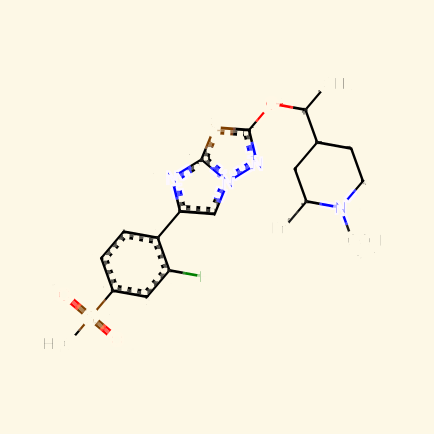 CC(C)C1CC(C(C)Oc2nn3cc(-c4ccc(S(C)(=O)=O)cc4F)nc3s2)CCN1C(=O)O